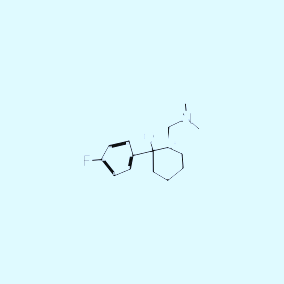 CN(C)C[C@H]1CCCCC1(O)c1ccc(F)cc1